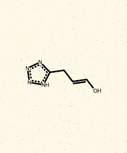 OC=CCc1nnn[nH]1